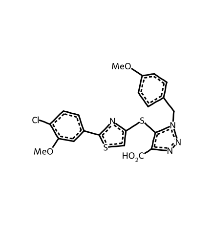 COc1ccc(Cn2nnc(C(=O)O)c2Sc2csc(-c3ccc(Cl)c(OC)c3)n2)cc1